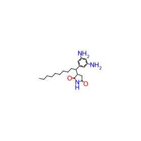 CCCCCCCCCC(c1cc(N)cc(N)c1)C1CC(=O)NC1=O